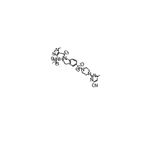 Cc1cc(C#N)nc(N2CCN(S(=O)(=O)c3ccc4c(c3)CCN4C(=O)c3c(NS(C)(=O)=O)ncn3C)CC2)n1